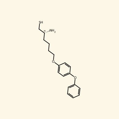 N[C@@H](CS)CCCCOc1ccc(Oc2ccccc2)cc1